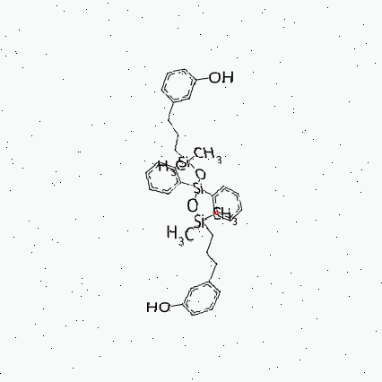 C[Si](C)(CCCc1cccc(O)c1)O[Si](O[Si](C)(C)CCCc1cccc(O)c1)(c1ccccc1)c1ccccc1